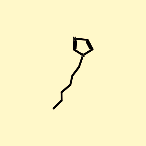 CCCCCCn1ccnc1